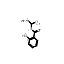 CCCCCCC(OC(=O)c1ccc[c]c1O)C(F)(F)F